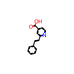 O=C(O)c1ccnc(C=Cc2ccccc2)c1